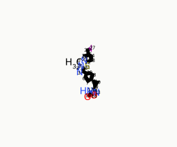 Cn1cnc(-c2ccc([C@H]3C[C@@H]3c3noc(=O)[nH]3)cc2)c1Sc1ccc(CI)cn1